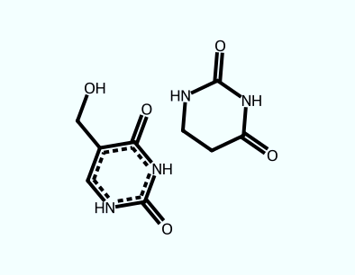 O=C1CCNC(=O)N1.O=c1[nH]cc(CO)c(=O)[nH]1